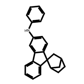 c1ccc(Nc2ccc3c(c2)-c2ccccc2C32CC3CCC2C3)cc1